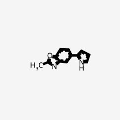 Cc1nc2cc(-c3ccc[nH]3)ccc2o1